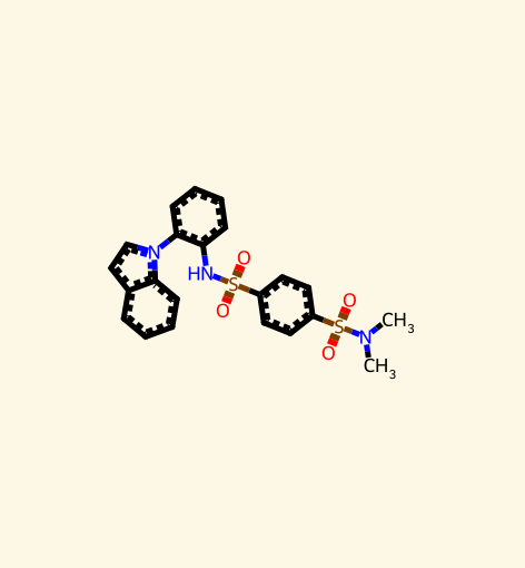 CN(C)S(=O)(=O)c1ccc(S(=O)(=O)Nc2ccccc2-n2ccc3ccccc32)cc1